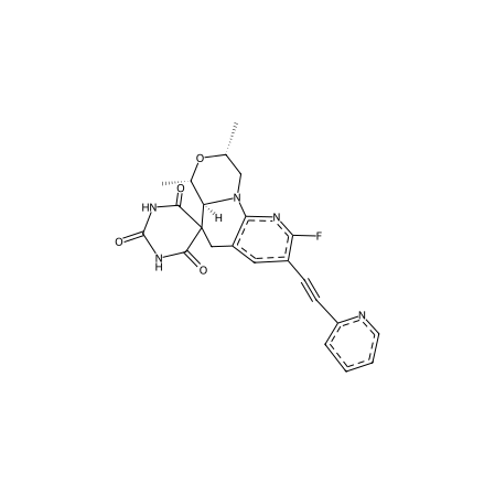 C[C@@H]1CN2c3nc(F)c(C#Cc4ccccn4)cc3CC3(C(=O)NC(=O)NC3=O)[C@H]2[C@H](C)O1